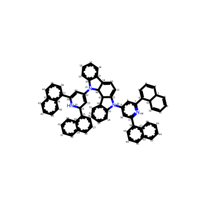 C1=CC2C=CC=C(c3cc(N4C5=CC=C6c7ccccc7N(C7=CC(c8cccc9ccccc89)NC(c8cccc9ccccc89)=C7)C6C5c5ccccc54)cc(-c4cccc5ccccc45)n3)C2C=C1